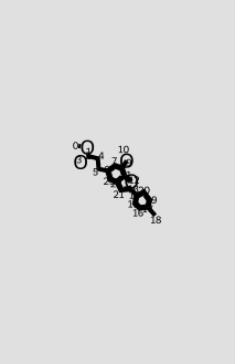 COC(=O)CCc1cc(OC)c2oc(-c3ccc(C)cc3)cc2c1